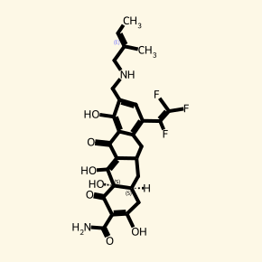 C/C=C(\C)CNCc1cc(C(F)=C(F)F)c2c(c1O)C(=O)C1=C(O)[C@]3(O)C(=O)C(C(N)=O)=C(O)C[C@@H]3CC1C2